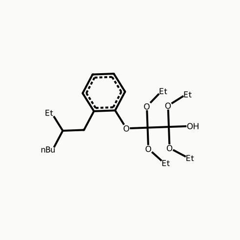 CCCCC(CC)Cc1ccccc1OC(OCC)(OCC)C(O)(OCC)OCC